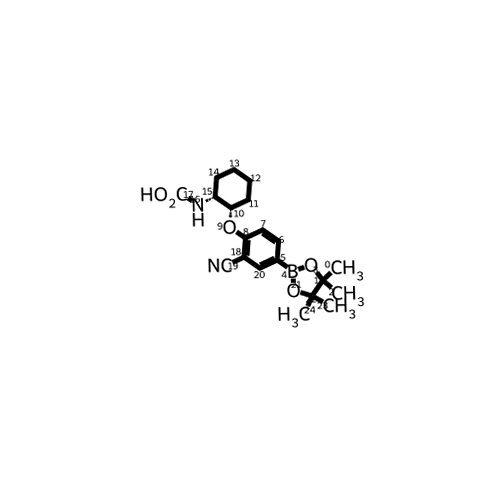 CC1(C)OB(c2ccc(O[C@H]3CCCC[C@H]3NC(=O)O)c(C#N)c2)OC1(C)C